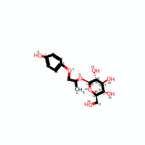 CC(COc1ccc(O)cc1)O[C@@H]1O[C@H](CO)[C@@H](O)[C@H](O)[C@H]1O